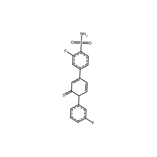 NS(=O)(=O)c1ccc(C2=CC(=S)C(c3cccc(F)c3)C=C2)cc1F